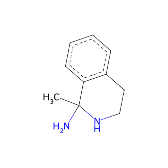 CC1(N)NCCc2ccccc21